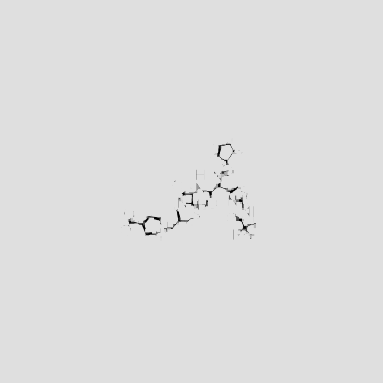 O=C(NC1C(=O)N2C=C(C[n+]3ccc(C(=O)[O-])cc3)CS[C@@H]12)C(=NOC1C=CCC1)c1csc(NC(=O)C(F)(F)F)n1